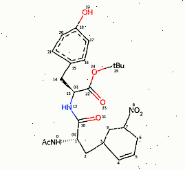 CC(=O)N[C@@H](CC1C=CCC([N+](=O)[O-])C1)C(=O)N[C@@H](Cc1ccc(O)cc1)C(=O)OC(C)(C)C